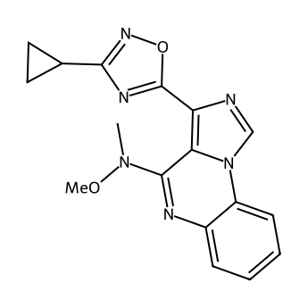 CON(C)c1nc2ccccc2n2cnc(-c3nc(C4CC4)no3)c12